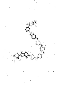 Cn1cnnc1CC1(c2cccc(-n3cc4ccc(CN5CCC[C@H](CN6CCN(C[C@H]7CC[C@H](OC8CCN(c9ccc%10c(c9F)CN(C9CCC(=O)NC9=O)C%10=O)CC8)CC7)CC6)C5)cc4n3)c2)COC1